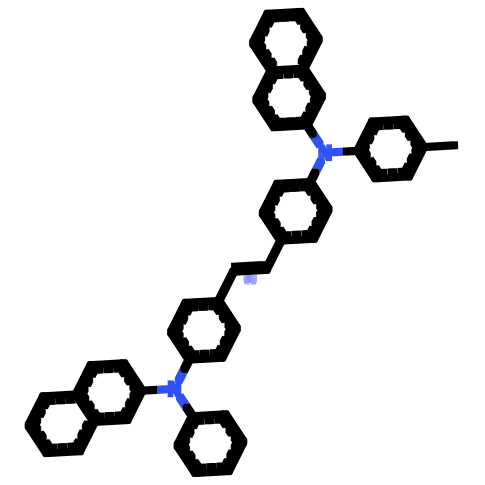 Cc1ccc(N(c2ccc(/C=C/c3ccc(N(c4ccccc4)c4ccc5ccccc5c4)cc3)cc2)c2ccc3ccccc3c2)cc1